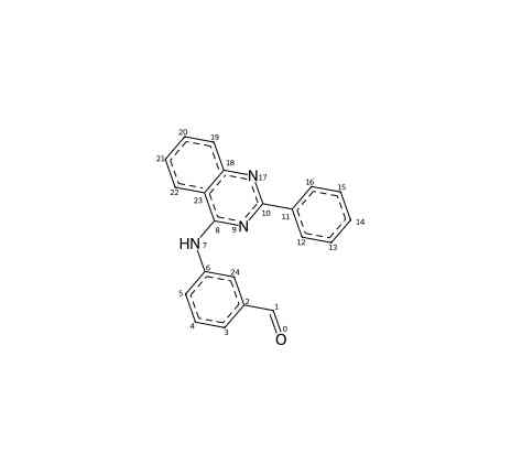 O=Cc1cccc(Nc2nc(-c3ccccc3)nc3ccccc23)c1